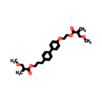 C=C(COC)C(=O)OCCCc1ccc(-c2ccc(OCCOC(=O)C(=C)COC)cc2)cc1